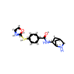 O=C(NC1CC2CNC1C2)c1ccc(Sc2ncco2)cc1